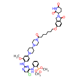 COc1cc(N2CCC(N3CCN(C(=O)CCCCCCOc4ccc5c(c4)CN(C4CCC(=O)NC4=O)C5=O)CC3)CC2)ccc1Nc1ncc(Cl)c(Nc2ccccc2P(=O)(OC)OC)n1